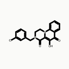 O=C1c2c(O)c(=O)c3ccccc3n2CCN1Cc1cccc(Cl)c1